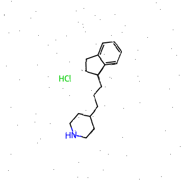 Cl.c1ccc2c(c1)CCC2CCCC1CCNCC1